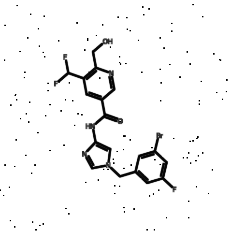 O=C(Nc1cn(Cc2cc(F)cc(Br)c2)cn1)c1cnc(CO)c(C(F)F)c1